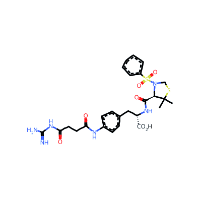 CC1(C)SCN(S(=O)(=O)c2ccccc2)[C@@H]1C(=O)N[C@@H](Cc1ccc(NC(=O)CCC(=O)NC(=N)N)cc1)C(=O)O